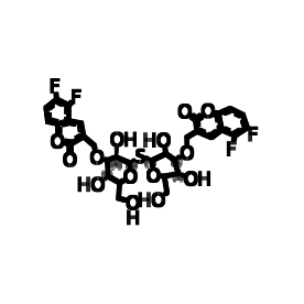 O=c1oc2ccc(F)c(F)c2cc1COC1[C@@H](O)C(CO)O[C@@H](S[C@@H]2OC(CO)[C@H](O)[C@H](OCc3cc4c(F)c(F)ccc4oc3=O)C2O)[C@@H]1O